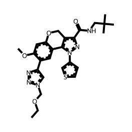 CCOCn1cc(-c2cc3c(cc2OC)OCc2c(C(=O)NCC(C)(C)C)nn(-c4ccsc4)c2-3)nn1